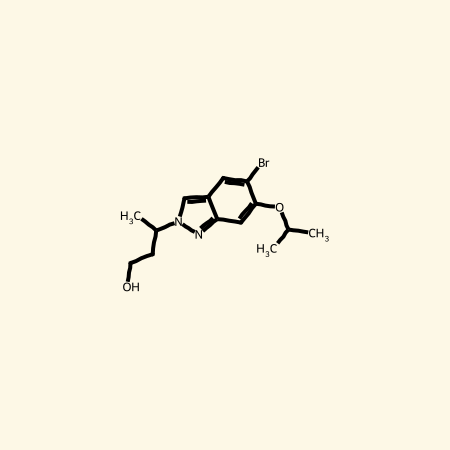 CC(C)Oc1cc2nn(C(C)CCO)cc2cc1Br